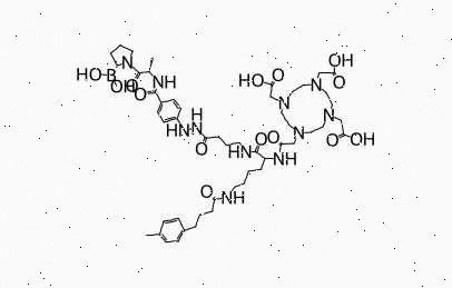 Cc1ccc(CCCC(=O)NCCCCC(NC(=O)CN2CCN(CC(=O)O)CCN(CC(=O)O)CCN(CC(=O)O)CC2)C(=O)NCCCC(=O)NNc2ccc(C(=O)N[C@H](C)C(=O)N3CCC[C@H]3B(O)O)cc2)cc1